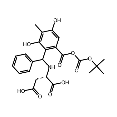 Cc1c(O)cc(C(=O)OC(=O)OC(C)(C)C)c(C(N[C@@H](CC(=O)O)C(=O)O)c2ccccc2)c1O